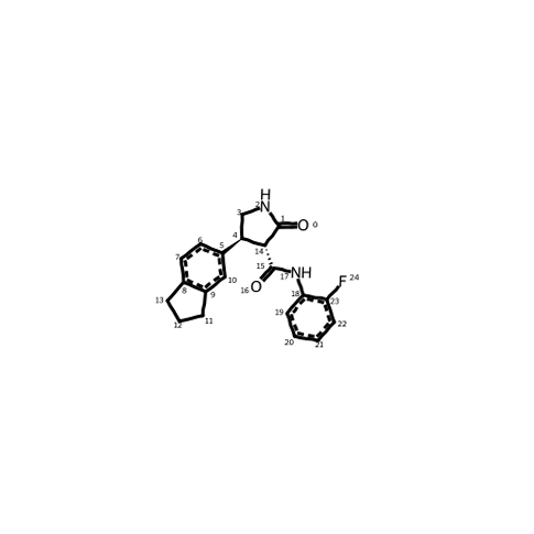 O=C1NC[C@H](c2ccc3c(c2)CCC3)[C@H]1C(=O)Nc1ccccc1F